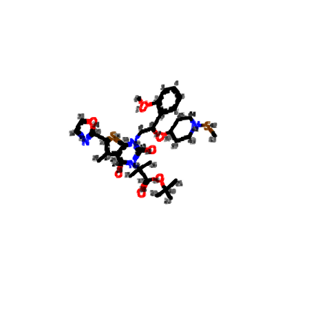 COc1ccccc1C(Cn1c(=O)n(C(C)(C)C(=O)OC(C)(C)C)c(=O)c2c(C)c(-c3ncco3)sc21)OC1CCN(SC)CC1